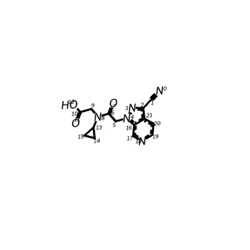 N#Cc1nn(CC(=O)N(CC(=O)O)C2CC2)c2cnccc12